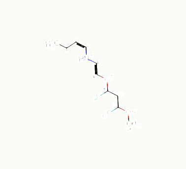 CC/C=C\N/C=C/OC(F)CC(F)OC